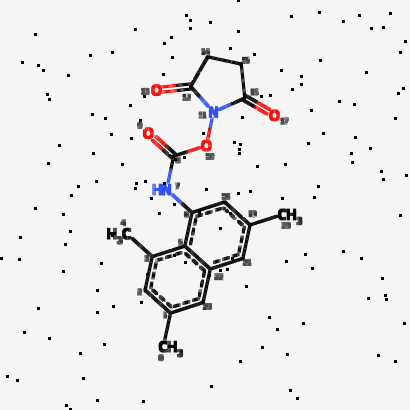 Cc1cc(C)c2c(NC(=O)ON3C(=O)CCC3=O)cc(C)cc2c1